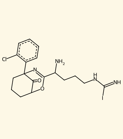 N=C(I)NCCCC(N)C1=NC2(c3ccccc3Cl)CCCC(O1)C2=O